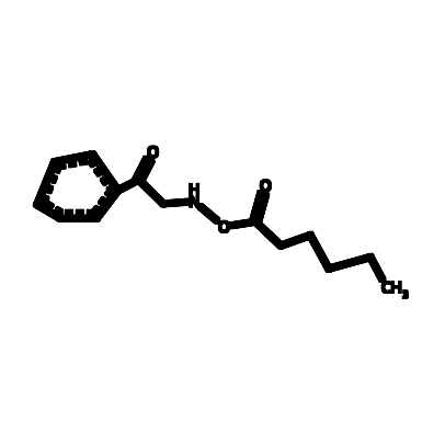 CCCCCC(=O)ONCC(=O)c1ccccc1